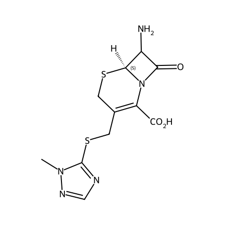 Cn1ncnc1SCC1=C(C(=O)O)N2C(=O)C(N)[C@@H]2SC1